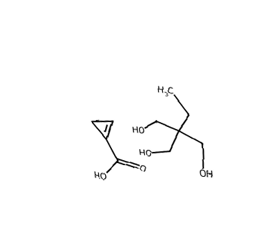 CCC(CO)(CO)CO.O=C(O)C1=CC1